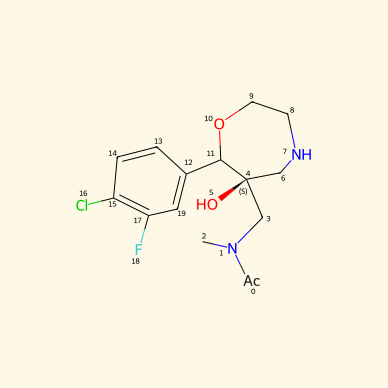 CC(=O)N(C)C[C@@]1(O)CNCCOC1c1ccc(Cl)c(F)c1